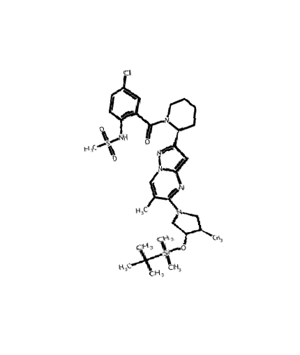 Cc1cn2nc([C@@H]3CCCCN3C(=O)c3cc(Cl)ccc3NS(C)(=O)=O)cc2nc1N1C[C@@H](C)[C@@H](O[Si](C)(C)C(C)(C)C)C1